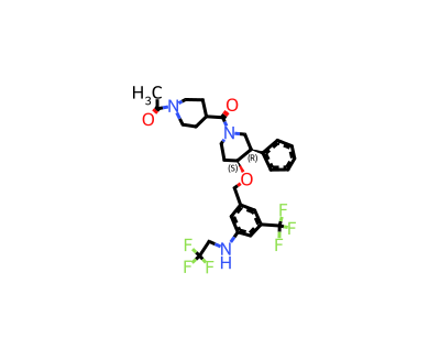 CC(=O)N1CCC(C(=O)N2CC[C@H](OCc3cc(NCC(F)(F)F)cc(C(F)(F)F)c3)[C@H](c3ccccc3)C2)CC1